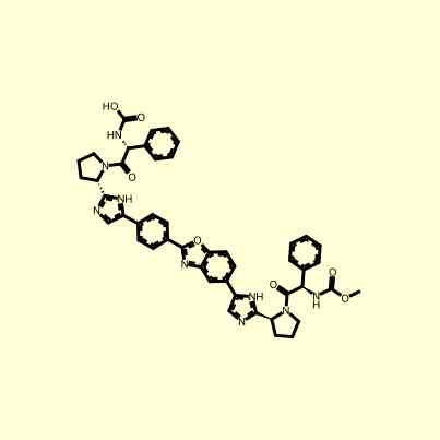 COC(=O)N[C@@H](C(=O)N1CCC[C@H]1c1ncc(-c2ccc3oc(-c4ccc(-c5cnc([C@@H]6CCCN6C(=O)[C@H](NC(=O)O)c6ccccc6)[nH]5)cc4)nc3c2)[nH]1)c1ccccc1